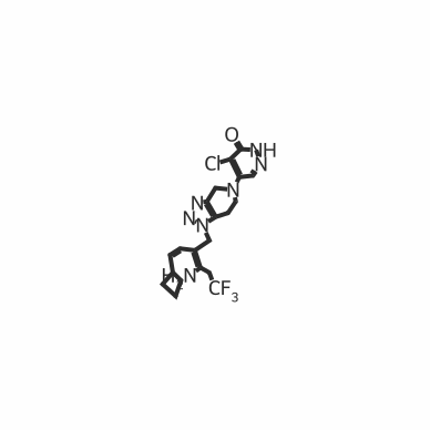 N/C(CC(F)(F)F)=C(\C=C/C1CCC1)Cn1nnc2c1CCN(c1cn[nH]c(=O)c1Cl)C2